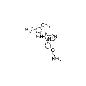 Cc1cc(C)cc(NC2=N[N+]3(c4cccc(OCCN)c4)C=CN=CC3=N2)c1